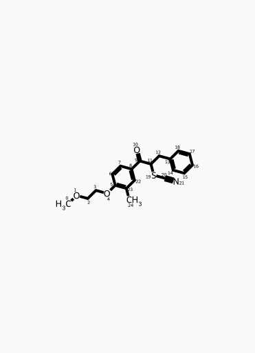 COCCOc1ccc(C(=O)C(Cc2ccccc2)SC#N)cc1C